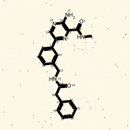 CNC(=O)c1nc(-c2cccc(CNC(=O)Cc3ccccc3)c2)cnc1N